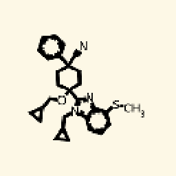 CSc1cccc2c1nc(C1(OCC3CC3)CCC(C#N)(c3ccccc3)CC1)n2CC1CC1